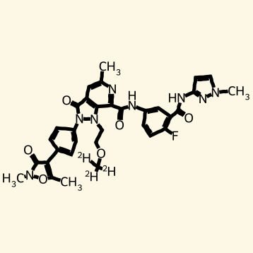 [2H]C([2H])([2H])OCCn1c2c(C(=O)Nc3ccc(F)c(C(=O)Nc4ccn(C)n4)c3)nc(C)cc2c(=O)n1-c1ccc(-c2c(C)on(C)c2=O)cc1